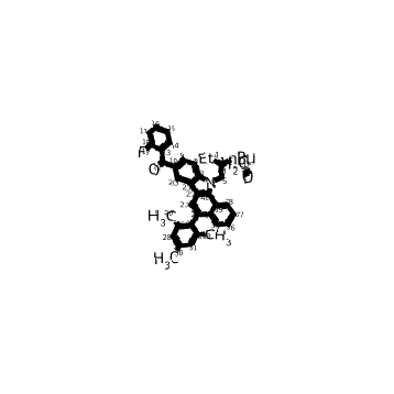 C=O.CCCCC(CC)Cn1c2ccc(C(=O)c3ccccc3F)cc2c2cc(-c3c(C)cc(C)cc3C)c3ccccc3c21